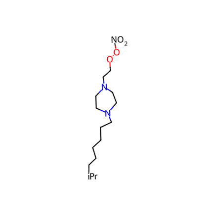 CC(C)CCCCCCN1CCN(CCOO[N+](=O)[O-])CC1